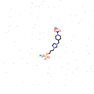 CC(C)(C)OC(=O)N1CCC(CN2[C]N(CCCOS(C)(=O)=O)CC2)CC1